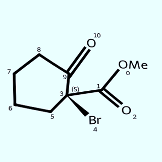 COC(=O)[C@]1(Br)CCCCC1=O